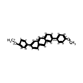 COc1ccc(-c2ccc3cc4cc(-c5ccc(OC)cc5)ccc4cc3c2)cc1